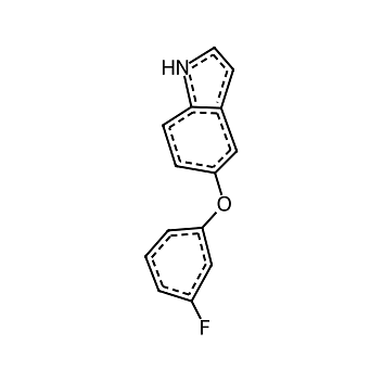 Fc1cccc(Oc2ccc3[nH]ccc3c2)c1